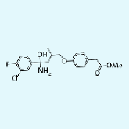 COC(=O)Cc1ccc(OCC(C)CC(N)(O)c2ccc(F)c(Cl)c2)cc1